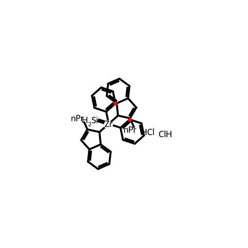 CCCC1=Cc2ccccc2[CH]1[Zr](=[SiH2])([c]1ccccc1)([c]1ccccc1)[CH]1C(CCC)=Cc2ccccc21.Cl.Cl